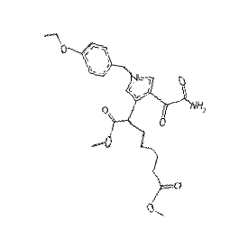 CCOc1ccc(Cn2cc(C(=O)C(N)=O)c(C(CCCCC(=O)OC)C(=O)OC)c2)cc1